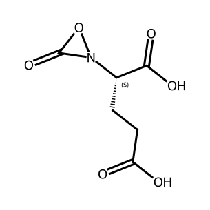 O=C(O)CC[C@@H](C(=O)O)N1OC1=O